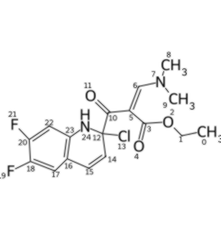 CCOC(=O)/C(=C\N(C)C)C(=O)C1(Cl)C=Cc2cc(F)c(F)cc2N1